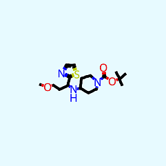 COCCC(NC1CCN(C(=O)OC(C)(C)C)CC1)c1nccs1